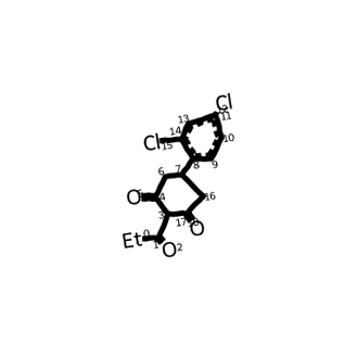 CCC(=O)C1C(=O)CC(c2ccc(Cl)cc2Cl)CC1=O